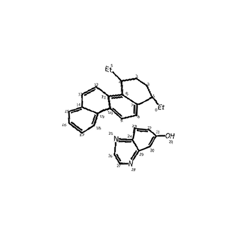 CCC1CCC(CC)c2c1ccc1c2ccc2ccccc21.Oc1ccc2nccnc2c1